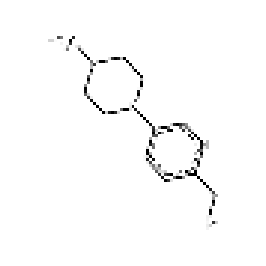 CC(C)Cc1ccc(N2CCN(C(=O)O)CC2)cn1